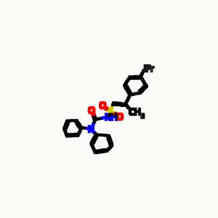 C/C(=C\S(=O)(=O)NC(=O)N(c1ccccc1)c1ccccc1)c1ccc(C(C)C)cc1